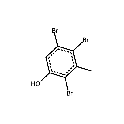 Oc1cc(Br)c(Br)c(I)c1Br